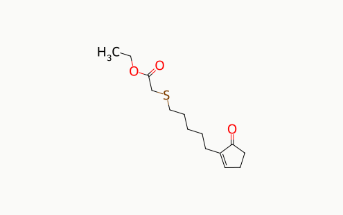 CCOC(=O)CSCCCCCC1=CCCC1=O